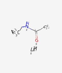 O=C(NC(F)(F)F)C(F)(F)F.[LiH]